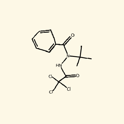 CC(C)(C)N(NC(=O)C(Cl)(Cl)Cl)C(=O)c1ccccc1